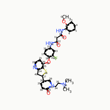 COc1ccccc1NC(=O)CC(=O)Nc1ccc(Oc2ccnc3c2SC(c2ccc(=O)n(CCN(C)C)c2)C3)c(F)c1